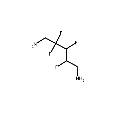 NCC(F)C(F)C(F)(F)CN